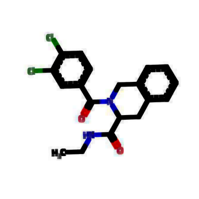 CCNC(=O)C1Cc2ccccc2CN1C(=O)c1ccc(Cl)c(Cl)c1